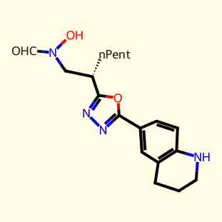 CCCCC[C@@H](CN(O)C=O)c1nnc(-c2ccc3c(c2)CCCN3)o1